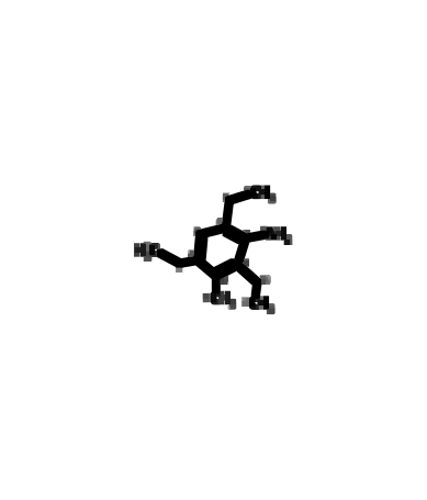 CCc1cc(CC)c(N)c(CC)c1C